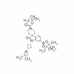 CC1(C)CN([C@H]2C[C@@H](N3C(=O)C4(CCN(C(=O)OC(C)(C)C)CC4)c4ccc(B5OC(C)(C)C(C)(C)O5)cc43)C2)C1